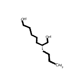 CCCC[C@@H](CO)CCCCCO